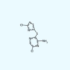 Nc1nc(Cl)cnc1Sc1nc(Cl)cs1